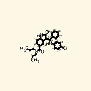 CCCN(CCC)C(=O)c1ccc2c(c1)C(=C(Nc1ccc(Cl)cc1)c1ccccc1)C(=O)N2